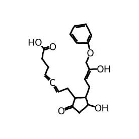 O=C(O)CCC=C=CCC1C(=O)CC(O)C1C/C=C(\O)COc1ccccc1